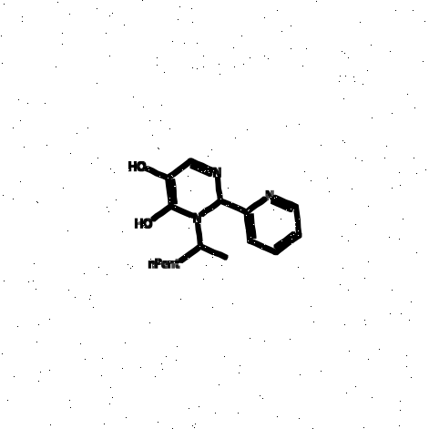 CCCCCC(C)N1C(O)=C(O)C=NC1c1ccccn1